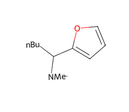 CCCCC([N]C)c1ccco1